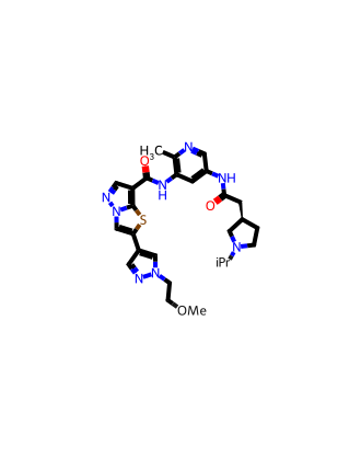 COCCn1cc(-c2cn3ncc(C(=O)Nc4cc(NC(=O)C[C@H]5CCN(C(C)C)C5)cnc4C)c3s2)cn1